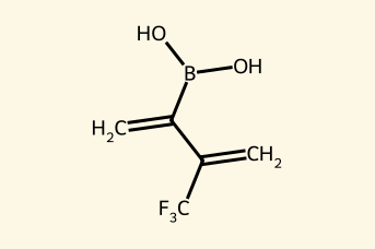 C=C(B(O)O)C(=C)C(F)(F)F